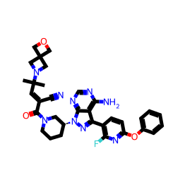 CC(C)(C=C(C#N)C(=O)N1CCC[C@@H](n2nc(-c3ccc(Oc4ccccc4)nc3F)c3c(N)ncnc32)C1)N1CC2(COC2)C1